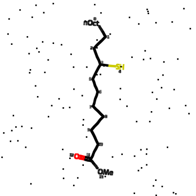 CCCCCCCCCCC(S)CCCCCCC(=O)OC